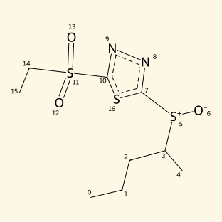 CCCC(C)[S+]([O-])c1nnc(S(=O)(=O)CC)s1